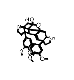 COc1ccc(C23C=C4C5CC6(O)CC7N(CCC57c5ccc(OC)c(OC)c5)C4(CC2NCC3)O6)cc1OC